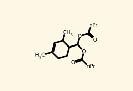 CCCC(=O)OC(OC(=O)CCC)C1CCC(C)=CC1C